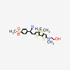 CN(CCO)c1cc2c(s1)-c1sc(/C=C(\C#N)c3ccc(S(C)(=O)=O)cc3)cc1S2(C)C